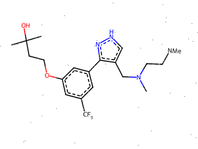 CNCCN(C)Cc1c[nH]nc1-c1cc(OCCC(C)(C)O)cc(C(F)(F)F)c1